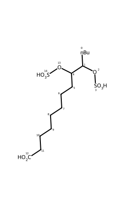 CCCCC(OS(=O)(=O)O)C(CCCCCCCC(=O)O)OS(=O)(=O)O